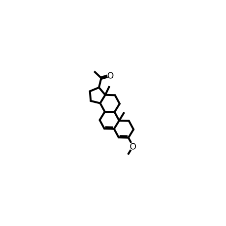 COC1=CC2=CCC3C(CCC4(C)C(C(C)=O)CCC34)C2(C)CC1